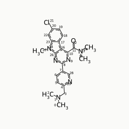 CN(C)Cc1ccc(-c2nc(C(=O)N(C)C)c3c4ccc(Cl)cc4n(C)c3n2)cn1